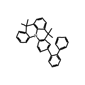 CC1(C)c2ccccc2N2c3ccc(-c4ccccc4-c4ccccc4)cc3C(C)(C)c3cccc1c32